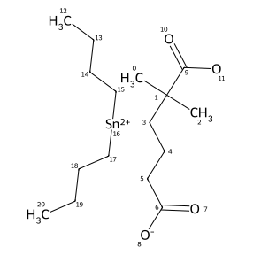 CC(C)(CCCC(=O)[O-])C(=O)[O-].CCC[CH2][Sn+2][CH2]CCC